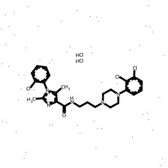 Cc1nc(C(=O)NCCCN2CCN(c3cccc(Cl)c3Cl)CC2)c(C)n1-c1ccccc1Cl.Cl.Cl